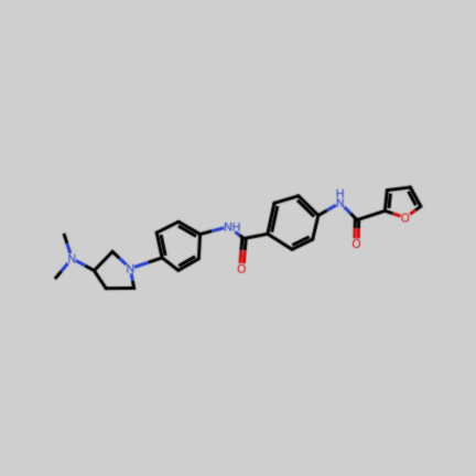 CN(C)C1CCN(c2ccc(NC(=O)c3ccc(NC(=O)c4ccco4)cc3)cc2)C1